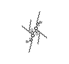 CCCCCCCCc1cc(-c2ccc3c(c2)N(CC(CCCCCC)CCCCCCCC)C(=O)C3C2C(=O)N(CC(CCCCCC)CCCCCCCC)c3cc(-c4cc(CCCCCCCC)c(Br)s4)ccc32)sc1Br